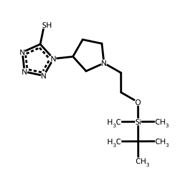 CC(C)(C)[Si](C)(C)OCCN1CCC(n2nnnc2S)C1